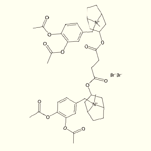 CC(=O)Oc1ccc(C[N+]2(C)C3CCC2CC(OC(=O)CCC(=O)OC2CC4CCC(C2)[N+]4(C)Cc2ccc(OC(C)=O)c(OC(C)=O)c2)C3)cc1OC(C)=O.[Br-].[Br-]